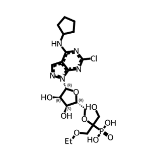 CCOCC(CO)(OC[C@H]1O[C@@H](n2ncc3c(NC4CCCC4)nc(Cl)nc32)[C@H](O)[C@@H]1O)P(=O)(O)O